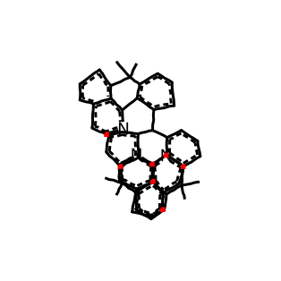 CC1(C)c2cccc(C(c3cccc4c3-c3nccc5cccc(c35)C4(C)C)c3cccc4c3-c3nccc5cccc(c35)C4(C)C)c2-c2nccc3cccc1c23